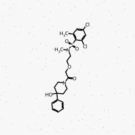 Cc1cc(Cl)cc(Cl)c1S(=O)(=O)N(C)CCOCC(=O)N1CCC(O)(c2ccccc2)CC1